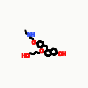 CCNCCOc1ccc(Cc2c(OCCCCO)ccc3cc(O)ccc23)cc1